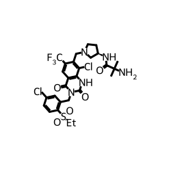 CCS(=O)(=O)c1ccc(Cl)cc1Cn1c(=O)[nH]c2c(Cl)c(CN3CC[C@@H](NC(=O)C(C)(C)N)C3)c(C(F)(F)F)cc2c1=O